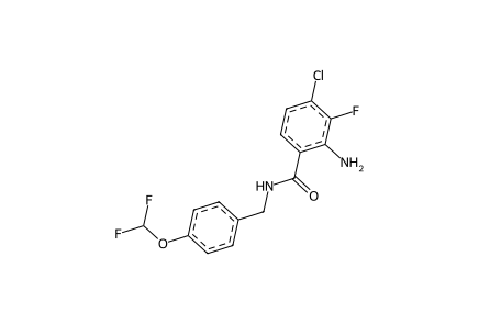 Nc1c(C(=O)NCc2ccc(OC(F)F)cc2)ccc(Cl)c1F